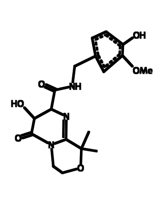 COc1cc(CNC(=O)C2N=C3N(CCOC3(C)C)C(=O)C2O)ccc1O